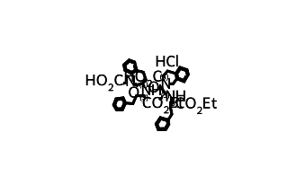 CCOC(=O)[C@H](CCc1ccccc1)N[C@@H](C)C(=O)N1Cc2ccccc2C[C@H]1C(=O)O.CCOC(=O)[C@H](CCc1ccccc1)N[C@H]1CCc2ccccc2N(CC(=O)O)C1=O.Cl